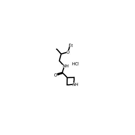 CCOC(C)CNC(=O)C1CNC1.Cl